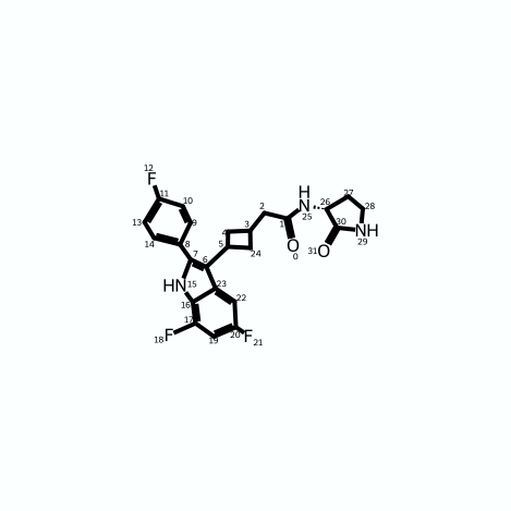 O=C(CC1CC(c2c(-c3ccc(F)cc3)[nH]c3c(F)cc(F)cc23)C1)N[C@@H]1CCNC1=O